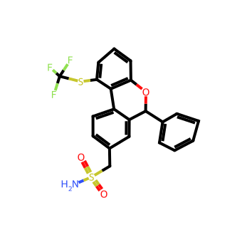 NS(=O)(=O)Cc1ccc2c(c1)C(c1ccccc1)Oc1cccc(SC(F)(F)F)c1-2